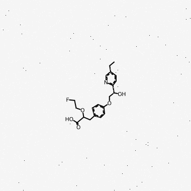 CCc1ccc(C(O)COc2ccc(CC(OCCF)C(=O)O)cc2)nc1